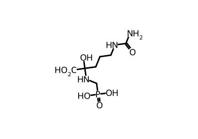 NC(=O)NCCCC(O)(NCP(=O)(O)O)C(=O)O